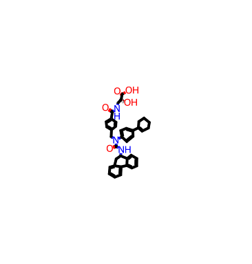 O=C(NC[C@@H](O)C(=O)O)c1ccc(CN(C(=O)NC2Cc3ccccc3-c3ccccc32)c2ccc(C3=CCCCC3)cc2)cc1